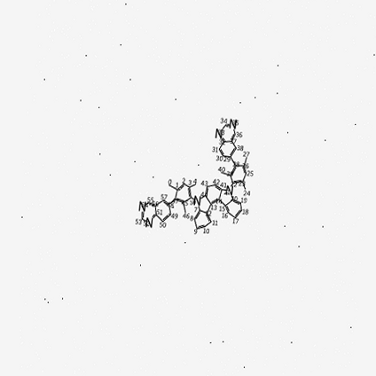 Cc1cc(C)c(-n2c3ccccc3c3c4c5ccccc5n(-c5c(C)cc(C)c(-c6ccc7ncncc7c6)c5C)c4ccc32)c(C)c1-c1ccc2ncncc2c1